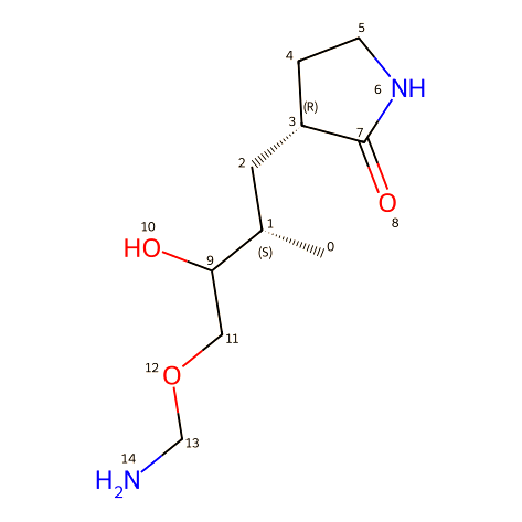 C[C@@H](C[C@@H]1CCNC1=O)C(O)COCN